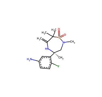 C=C1N[C@](C)(c2cc(N)ccc2F)CN(C)S(=O)(=O)C1(C)C